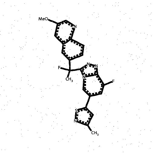 COc1cnc2ccc(C(C)(F)c3nnc4c(F)cc(-c5cc(C)ns5)cn34)cc2c1